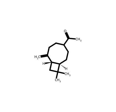 C=C1CCC(C(C)=O)CC[C@@H]2[C@@H]1CC2(C)C